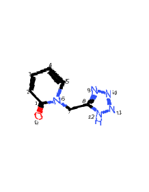 O=c1ccccn1Cc1nnn[nH]1